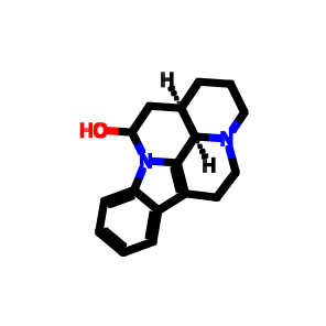 OC1C[C@H]2CCCN3CCc4c(n1c1ccccc41)[C@@H]23